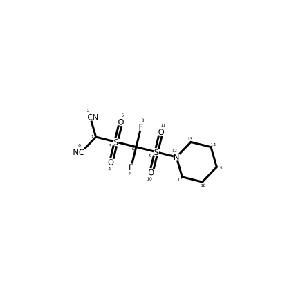 N#CC(C#N)S(=O)(=O)C(F)(F)S(=O)(=O)N1CCCCC1